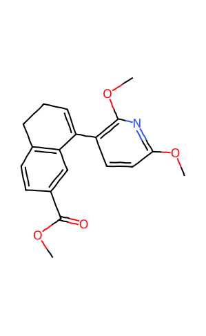 COC(=O)c1ccc2c(c1)C(c1ccc(OC)nc1OC)=CCC2